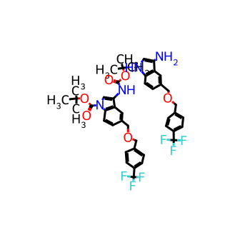 CC(C)(C)OC(=O)Nc1cn(C(=O)OC(C)(C)C)c2ccc(COCc3ccc(C(F)(F)F)cc3)cc12.Nc1c[nH]c2ccc(COCc3ccc(C(F)(F)F)cc3)cc12